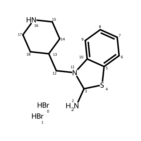 Br.Br.NC1Sc2ccccc2N1CC1CCNCC1